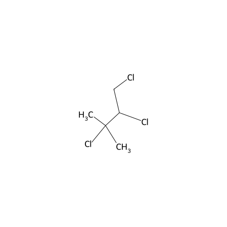 CC(C)(Cl)C(Cl)CCl